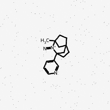 CC12CCC3(CCC(c4cccnc4)(C3)[N+]1=[N-])C2